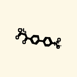 CC(=O)CC(=O)c1ccc(-c2ccc([N+](=O)[O-])cc2)cc1